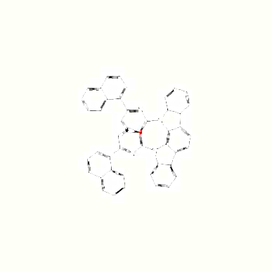 C1=CC2c3ccc4c5ccccc5n(-c5cccc(-c6cccc7ccccc67)n5)c4c3N(c3cccc(-c4cccc5ccccc45)n3)C2C=C1